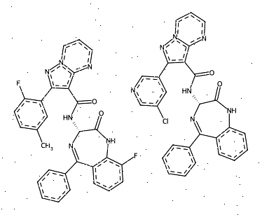 Cc1ccc(F)c(-c2nn3cccnc3c2C(=O)N[C@H]2N=C(c3ccccc3)c3cccc(F)c3NC2=O)c1.O=C(N[C@H]1N=C(c2ccccc2)c2ccccc2NC1=O)c1c(-c2cncc(Cl)c2)nn2cccnc12